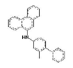 Cc1cc(Nc2cc3ccccc3c3ccccc23)ccc1-c1ccccc1